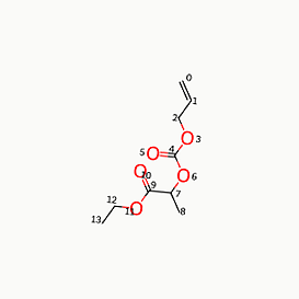 C=CCOC(=O)OC(C)C(=O)OCC